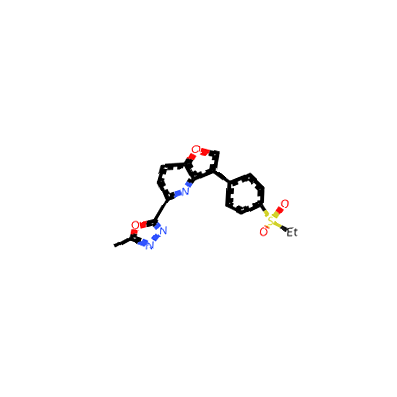 CCS(=O)(=O)c1ccc(-c2coc3ccc(-c4nnc(C)o4)nc23)cc1